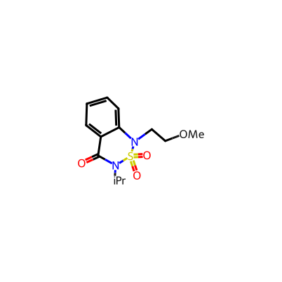 COCCN1c2ccccc2C(=O)N(C(C)C)S1(=O)=O